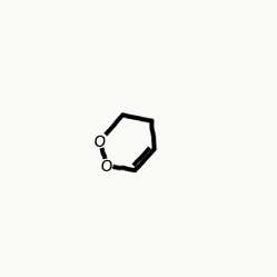 C1=COOCC1